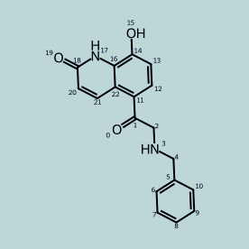 O=C(CNCc1ccccc1)c1ccc(O)c2[nH]c(=O)ccc12